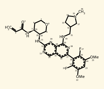 C=CC(=O)N[C@H]1CCOC[C@H]1Nc1ncc2cc(-c3c(F)c(OC)cc(OC)c3F)nc(NCC3CCN(C)C3)c2n1